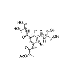 CC(=O)OC(C)C(=O)Nc1cc(C(=O)NC(CO)CO)c(I)c(C(=O)NC(CO)CO)c1I